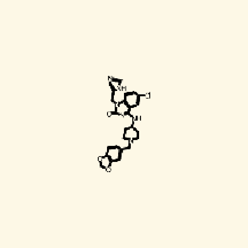 O=c1nc(NC2CCN(Cc3ccc4c(c3)OCO4)CC2)c2cc(Cl)ccc2n1Cc1cnc[nH]1